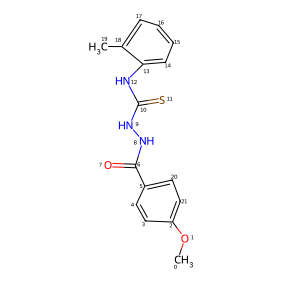 COc1ccc(C(=O)NNC(=S)Nc2ccccc2C)cc1